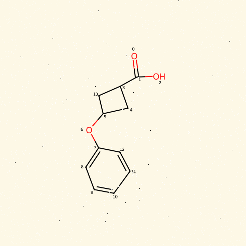 O=C(O)C1CC(Oc2ccccc2)C1